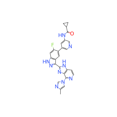 Cc1cn(-c2nccc3[nH]c(-c4n[nH]c5cc(F)c(-c6cncc(NC(=O)C7CC7)c6)cc45)nc23)cn1